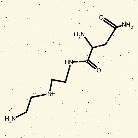 NCCNCCNC(=O)C(N)CC(N)=O